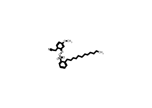 CCCCCCCCCCCCc1ccccc1S(=O)(=O)ON=C1C=C(OC)C=CC1CC#N